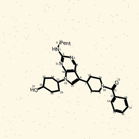 CCC[C@H](C)Nc1ncc2c(C3CCN(C(=O)c4ccccc4)CC3)cn(C3CCC(O)CC3)c2n1